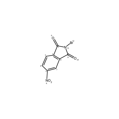 O=C1c2ccc([N+](=O)[O-])cc2C(=O)N1Br